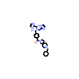 O=C(c1ccc(CN(Cc2ncc[nH]2)Cc2ncc[nH]2)cc1)N1CCC2(CCN(CC3CCCCC3)CC2)C1